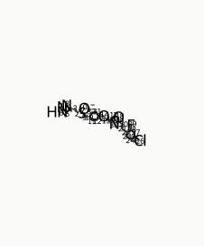 [O-][S+](CCc1c[nH]nn1)Cc1ccc(OCc2coc(C=Cc3ccc(Cl)cc3F)n2)cc1